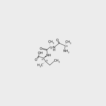 CC[C@H](C)[C@H](NC(=O)[C@H](C)NC(=O)[C@H](C)N)C(=O)O